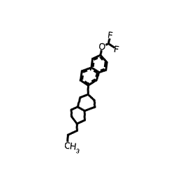 CCCC1CCC2CC(c3ccc4cc(OC(F)F)ccc4c3)CCC2C1